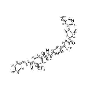 CCOc1cncc(-c2ccc(C(=O)N3CCN(c4ccc(C(=O)NS(=O)(=O)c5ccc(NCCSc6ccccc6)c(C(F)(F)F)c5)nn4)CC3)cc2F)c1